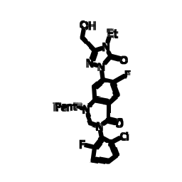 CCC[C@H](C)N1CN(c2c(F)cccc2Cl)C(=O)c2cc(F)c(-n3nc(CO)n(CC)c3=O)cc21